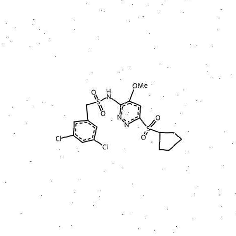 COc1cc(S(=O)(=O)C2CCCC2)nnc1NS(=O)(=O)Cc1cc(Cl)cc(Cl)c1